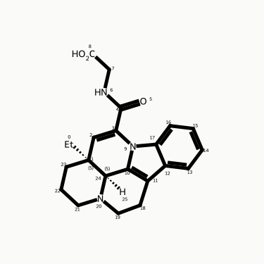 CC[C@@]12C=C(C(=O)NCC(=O)O)n3c4c(c5ccccc53)CCN(CCC1)[C@H]42